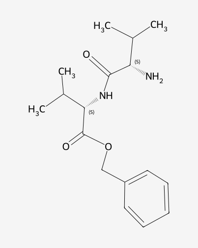 CC(C)[C@H](N)C(=O)N[C@H](C(=O)OCc1ccccc1)C(C)C